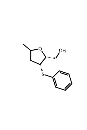 CC1C[C@@H](Sc2ccccc2)[C@@H](CO)O1